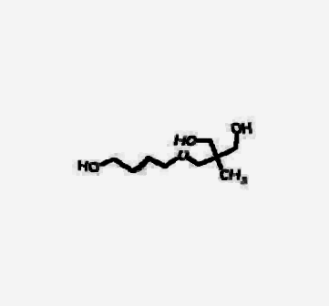 CC(CO)(CO)COCCCCO